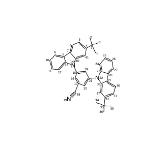 CC(C)(C)c1ccc2c3ccccc3n(-c3cc(C#N)cc(-n4c5ccccc5c5ccc(C(C)(C)C)cc54)c3)c2c1